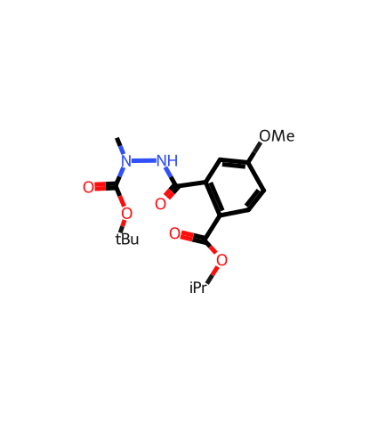 COc1ccc(C(=O)OC(C)C)c(C(=O)NN(C)C(=O)OC(C)(C)C)c1